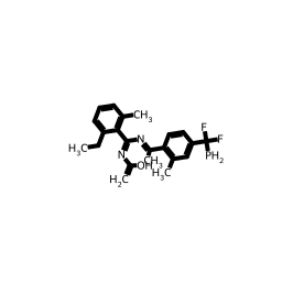 C=C(O)/N=C(\N=C(/C)c1ccc(C(F)(F)P)cc1C)c1c(C)cccc1CC